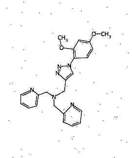 COc1ccc(-n2cc(CN(Cc3ccccn3)Cc3ccccn3)nn2)c(OC)c1